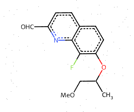 COCC(C)Oc1ccc2ccc(C=O)nc2c1F